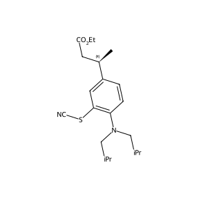 CCOC(=O)C[C@@H](C)c1ccc(N(CC(C)C)CC(C)C)c(SC#N)c1